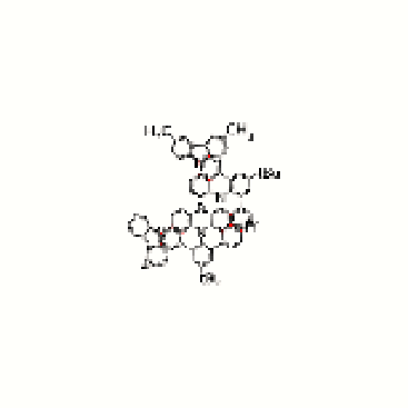 Cc1ccc2c(c1)c1cc(C)ccc1n2-c1ccc2c(c1)N(c1c(-c3ccccc3)cc(C(C)(C)C)cc1-c1ccccc1)c1cc(C(C)C)cc3c1B2c1ccc(-n2c4ccccc4c4c5c(ccc42)=C=5)cc1N3c1c(-c2ccccc2)cc(C(C)(C)C)cc1-c1ccccc1